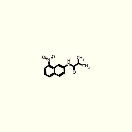 CC(C)C(=O)Nc1ccc2cccc([N+](=O)[O-])c2c1